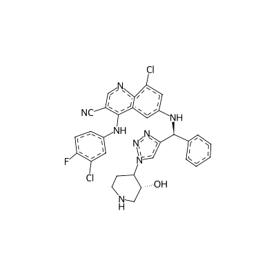 N#Cc1cnc2c(Cl)cc(N[C@@H](c3ccccc3)c3cn(C4CCNC[C@H]4O)nn3)cc2c1Nc1ccc(F)c(Cl)c1